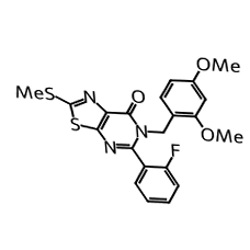 COc1ccc(Cn2c(-c3ccccc3F)nc3sc(SC)nc3c2=O)c(OC)c1